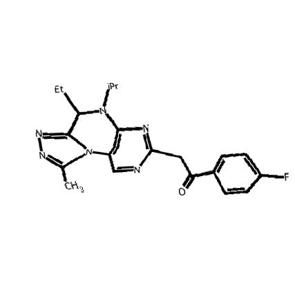 CCC1c2nnc(C)n2-c2cnc(CC(=O)c3ccc(F)cc3)nc2N1C(C)C